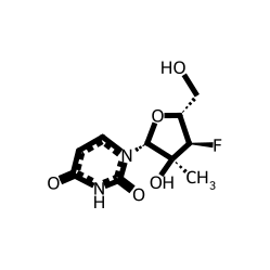 C[C@@]1(O)[C@H](F)[C@@H](CO)O[C@H]1n1ccc(=O)[nH]c1=O